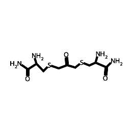 NC(=O)C(N)CSCC(=O)CSCC(N)C(N)=O